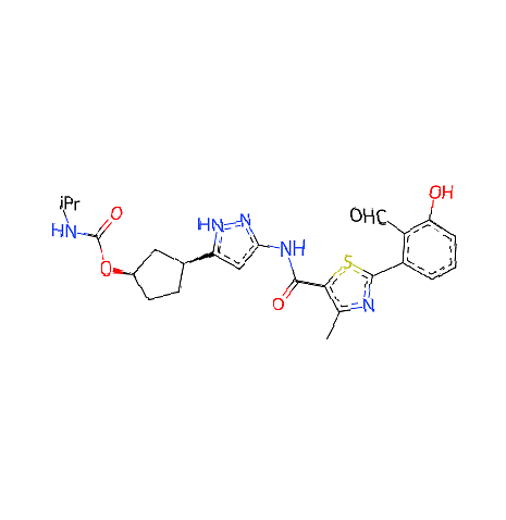 Cc1nc(-c2cccc(O)c2C=O)sc1C(=O)Nc1cc([C@H]2CC[C@@H](OC(=O)NC(C)C)C2)[nH]n1